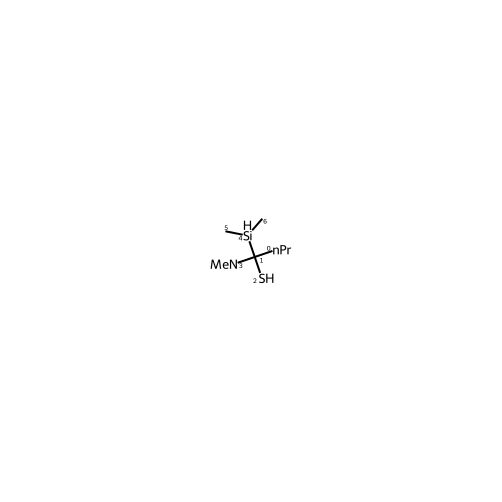 CCCC(S)(NC)[SiH](C)C